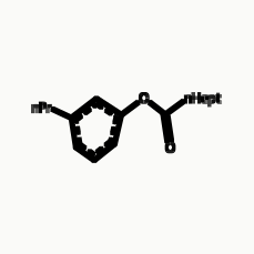 CCCCCCCC(=O)Oc1cccc(CCC)c1